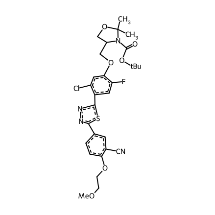 COCCOc1ccc(-c2nnc(-c3cc(F)c(OCC4COC(C)(C)N4C(=O)OC(C)(C)C)cc3Cl)s2)cc1C#N